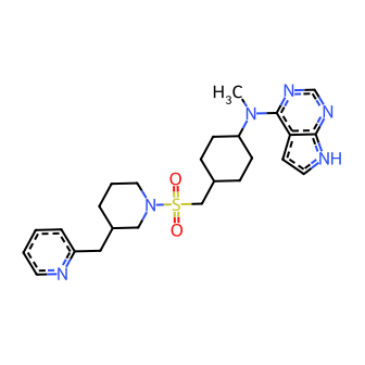 CN(c1ncnc2[nH]ccc12)C1CCC(CS(=O)(=O)N2CCCC(Cc3ccccn3)C2)CC1